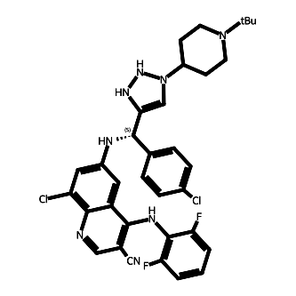 CC(C)(C)N1CCC(N2C=C([C@@H](Nc3cc(Cl)c4ncc(C#N)c(Nc5c(F)cccc5F)c4c3)c3ccc(Cl)cc3)NN2)CC1